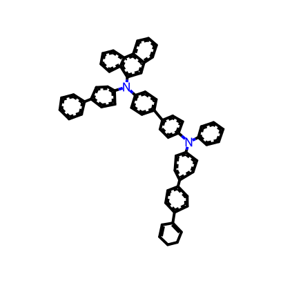 C1=CC(c2ccc(-c3ccc(N(c4ccccc4)c4ccc(-c5ccc(N(c6ccc(-c7ccccc7)cc6)c6cc7ccccc7c7ccccc67)cc5)cc4)cc3)cc2)=CCC1